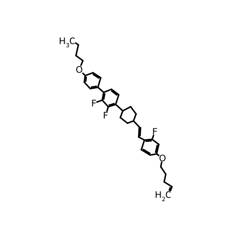 C=CCCCOc1ccc(/C=C/C2CCC(c3ccc(-c4ccc(OCCCC)cc4)c(F)c3F)CC2)c(F)c1